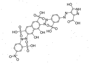 O=C(O)c1n[nH]c(O)c1/N=N/c1ccc(/N=N/c2c(S(=O)(=O)O)cc3cc(S(=O)(=O)O)c(/N=N/c4ccc([N+](=O)[O-])cc4S(=O)(=O)O)c(O)c3c2O)c(S(=O)(=O)O)c1